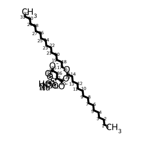 CCCCCCCCCCCCCCCCOCCCCCCCCCCCCCCCC.O=C([O-])CC(C(=O)[O-])S(=O)(=O)O.[Na+].[Na+]